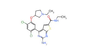 CCNC(=O)c1cc2c(-c3cc(OC4CCN(CC)C4)c(Cl)cc3Cl)nc(N)nc2s1